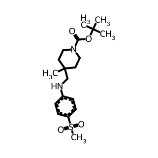 CC1(CNc2ccc(S(C)(=O)=O)cc2)CCN(C(=O)OC(C)(C)C)CC1